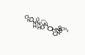 CS(=O)(=O)Nc1ncccc1-c1ccc(N2CCC[C@@H](NC(=O)Nc3ccc(Cl)nc3)C2=O)cc1